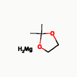 CC1(C)OCCO1.[MgH2]